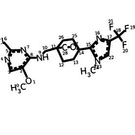 COc1cnc(Cl)nc1NCC12CCC(c3nc(C(F)(F)F)cn3C)(CC1)OC2